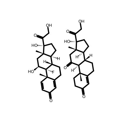 C[C@]12C=CC(=O)C=C1CC[C@H]1[C@@H]3CC[C@](O)(C(=O)CO)[C@@]3(C)C[C@H](O)[C@@]12F.C[C@]12CCC(=O)C=C1CC[C@@H]1[C@@H]2C(=O)C[C@@]2(C)[C@H]1CC[C@]2(O)C(=O)CO